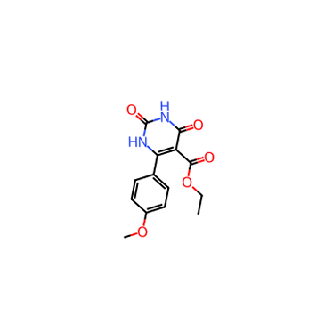 CCOC(=O)c1c(-c2ccc(OC)cc2)[nH]c(=O)[nH]c1=O